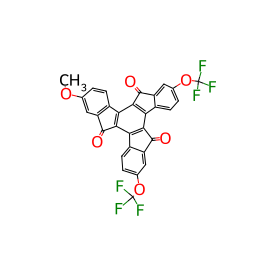 COc1ccc2c(c1)c(=O)c1c2c2c(=O)c3cc(OC(F)(F)F)ccc3c2c2c(=O)c3cc(OC(F)(F)F)ccc3c12